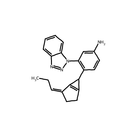 CC/C=C1/CCC2=C1C2c1ccc(N)cc1-n1nnc2ccccc21